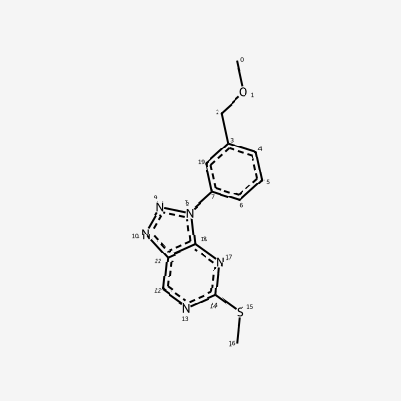 COCc1cccc(-n2nnc3cnc(SC)nc32)c1